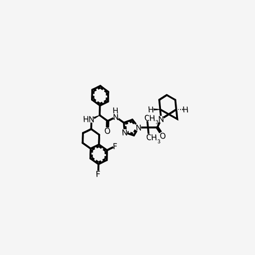 CC(C)(C(=O)N1[C@@H]2CCC[C@H]3CC321)n1cnc(NC(=O)[C@@H](NC2CCc3cc(F)cc(F)c3C2)c2ccccc2)c1